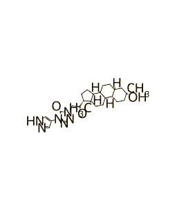 C[C@@]1(O)CCC2[C@H](CC[C@@H]3[C@@H]2CC[C@]2(C)[C@@H](C(=O)Cn4nnn(-c5cn[nH]c5)c4=O)CC[C@@H]32)C1